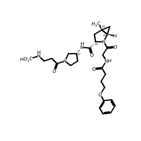 C[C@@]12C[C@@H]1N(C(=O)CNC(=O)CCCOc1ccccc1)[C@H](C(=O)N[C@@H]1CCN(C(=O)CCNC(=O)O)C1)C2